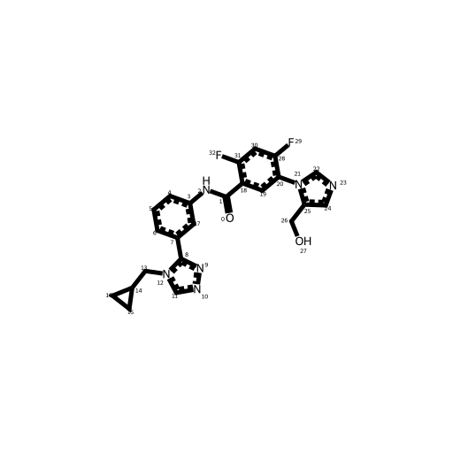 O=C(Nc1cccc(-c2nncn2CC2CC2)c1)c1cc(-n2cncc2CO)c(F)cc1F